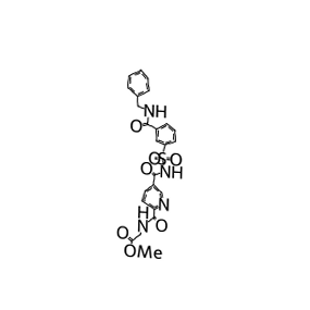 COC(=O)CNC(=O)c1ccc(C(=O)NS(=O)(=O)c2cccc(C(=O)NCc3ccccc3)c2)cn1